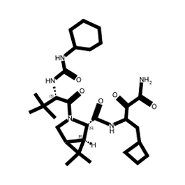 CC(C)(C)[C@H](NC(=O)NC1CCCCC1)C(=O)N1CC2[C@@H]([C@H]1C(=O)NC(CC1CCC1)C(=O)C(N)=O)C2(C)C